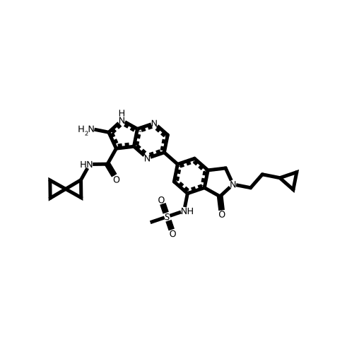 CS(=O)(=O)Nc1cc(-c2cnc3[nH]c(N)c(C(=O)NC4CC45CC5)c3n2)cc2c1C(=O)N(CCC1CC1)C2